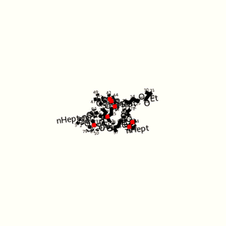 CCCCCCC[Si](C)(C)O[Si](CC[Si](C)(C)O[Si](CCCC[Si](C)(C)O[SiH2]CCCCOC(=O)C(C)(C)CC)(O[Si](C)(C)CC[Si](O[Si](C)(C)C)(O[Si](C)(C)C)O[Si](C)(C)CCCCCCC)O[Si](C)(C)CC[Si](O[Si](C)(C)C)(O[Si](C)(C)C)O[Si](C)(C)CCCCCCC)(O[Si](C)(C)C)O[Si](C)(C)C